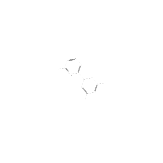 FC1=CC(c2cccc(F)n2)CC(F)=C1